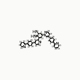 N=C1C=C(c2cc(-c3ccc(-c4ccccn4)cc3)ccn2)C=C(c2cc(-c3ccc(-c4ccccn4)cc3)ccn2)C1=N